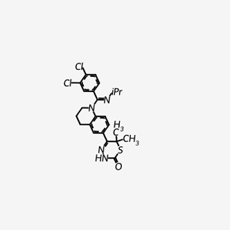 CC(C)N=C(c1ccc(Cl)c(Cl)c1)N1CCCc2cc(C3=NNC(=O)SC3(C)C)ccc21